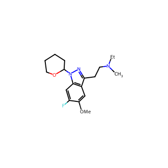 CCN(C)CCc1nn(C2CCCCO2)c2cc(F)c(OC)cc12